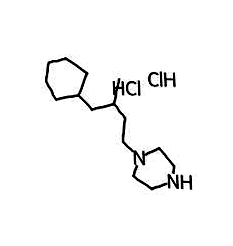 CC(CCN1CCNCC1)CC1CCCCC1.Cl.Cl